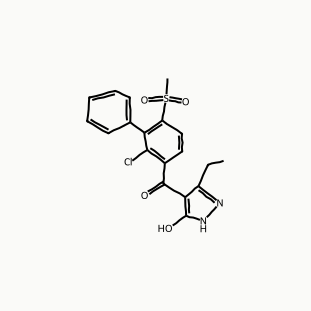 CCc1n[nH]c(O)c1C(=O)c1ccc(S(C)(=O)=O)c(-c2ccccc2)c1Cl